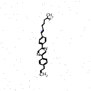 C=CCc1ccc(-c2cnc(-c3ccc(/C=C/CCCC(C)F)cc3)cn2)cc1